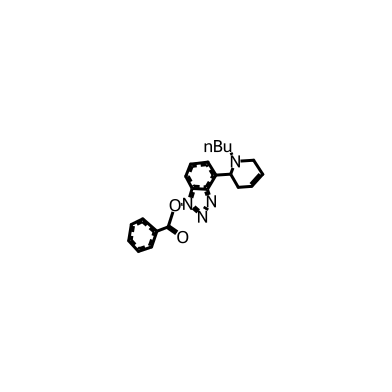 CCCCN1CC=CCC1c1cccc2c1nnn2OC(=O)c1ccccc1